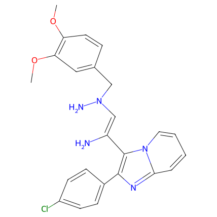 COc1ccc(CN(N)/C=C(\N)c2c(-c3ccc(Cl)cc3)nc3ccccn23)cc1OC